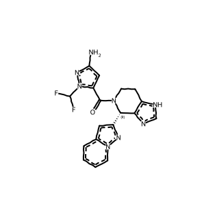 Nc1cc(C(=O)N2CCc3[nH]cnc3[C@@H]2c2cc3ccccn3n2)n(C(F)F)n1